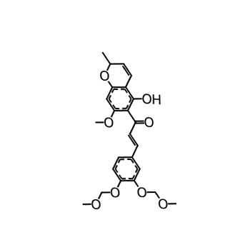 COCOc1ccc(/C=C/C(=O)c2c(OC)cc3c(c2O)C=CC(C)O3)cc1OCOC